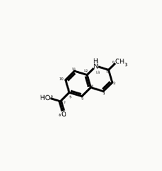 CC1C=Cc2cc(C(=O)O)ccc2N1